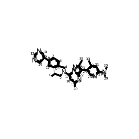 CCCN(Cc1ccc(-c2cncnc2)cc1)c1cc(C)nc2c(-c3cnc(N(C)C)cc3C)c(C)nn12